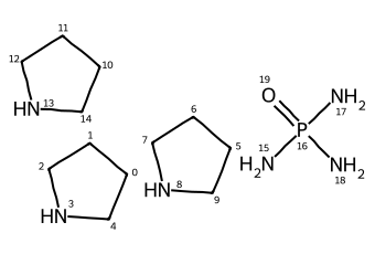 C1CCNC1.C1CCNC1.C1CCNC1.NP(N)(N)=O